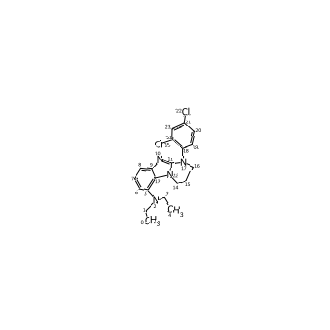 CCN(CC)c1cccc2nc3n(c12)CCCN3c1ccc(Cl)cc1Cl